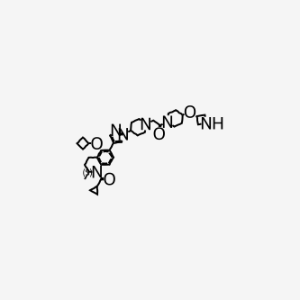 C[C@H]1CCc2c(ccc(-c3cnn(C4CCN(CC(=O)N5CCC(OC6CNC6)CC5)CC4)c3)c2OC2CCC2)N1C(=O)C1CC1